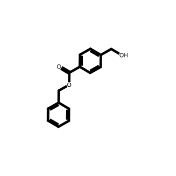 O=C(OCc1ccccc1)c1ccc(CO)cc1